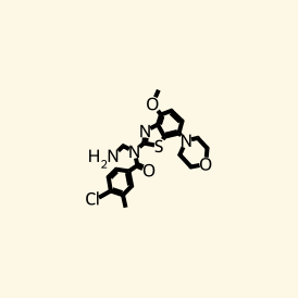 COc1ccc(N2CCOCC2)c2sc(N(CN)C(=O)c3ccc(Cl)c(C)c3)nc12